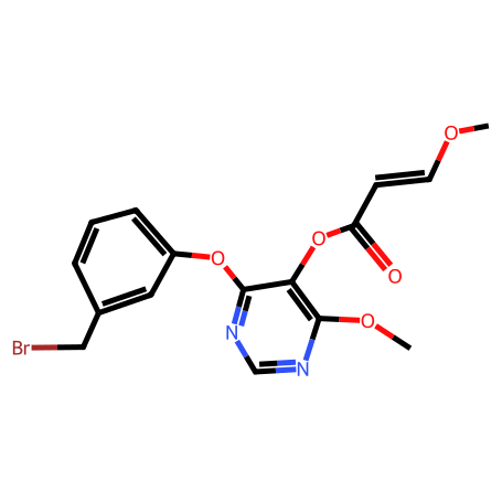 COC=CC(=O)Oc1c(OC)ncnc1Oc1cccc(CBr)c1